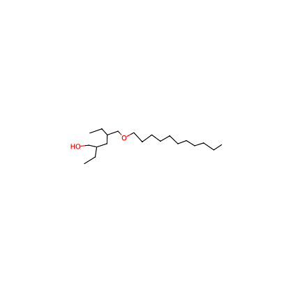 CCCCCCCCCCCOCC(CC)CC(CC)CO